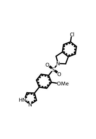 COc1cc(-c2cn[nH]c2)ccc1S(=O)(=O)N1Cc2ccc(Cl)cc2C1